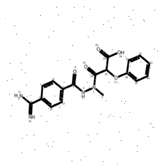 CN(NC(=O)c1ccc(C(=N)N)cc1)C(=O)C(Oc1ccccc1)C(=O)O